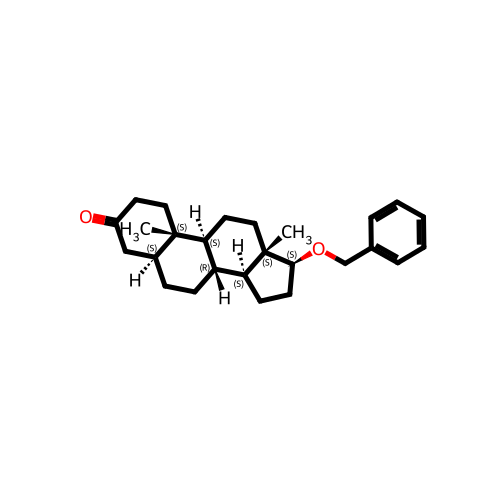 C[C@]12CCC(=O)C[C@@H]1CC[C@@H]1[C@@H]2CC[C@]2(C)[C@@H](OCc3ccccc3)CC[C@@H]12